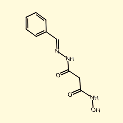 O=C(CC(=O)N/N=C/c1ccccc1)NO